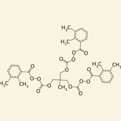 Cc1cccc(C(=O)OOC(=O)OCC(C)(COC(=O)OOC(=O)c2cccc(C)c2C)COC(=O)OOC(=O)c2cccc(C)c2C)c1C